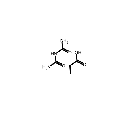 CCC(=O)O.NC(=O)NC(N)=O